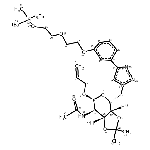 C=CCO[C@H]1O[C@H](Cn2cc(-c3cccc(OCCOCCO[Si](C)(C)C(C)(C)C)c3)nn2)[C@@H]2OC(C)(C)O[C@@H]2[C@H]1NC(=O)C(F)(F)F